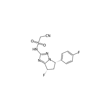 N#CCS(=O)(=O)Nc1nc2n(n1)[C@H](c1ccc(F)cc1)C[C@@H]2F